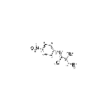 O=C(Nc1ccc([N+](=O)[O-])cc1)C(Br)CBr